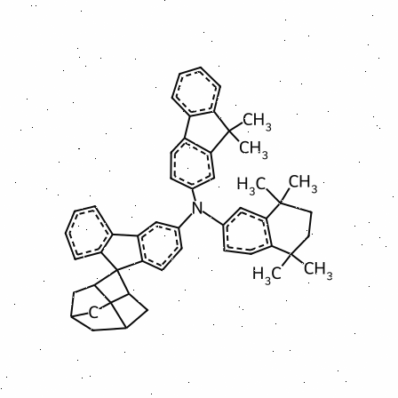 CC1(C)CCC(C)(C)c2cc(N(c3ccc4c(c3)-c3ccccc3C43C4CC5CC6CC3C64C5)c3ccc4c(c3)C(C)(C)c3ccccc3-4)ccc21